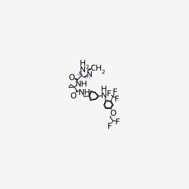 C=C/N=C\C(=C/N)C(=O)NC1(C(=O)NCc2ccc(Nc3ccc(OCC(F)F)cc3C(F)(F)F)cc2)CC1